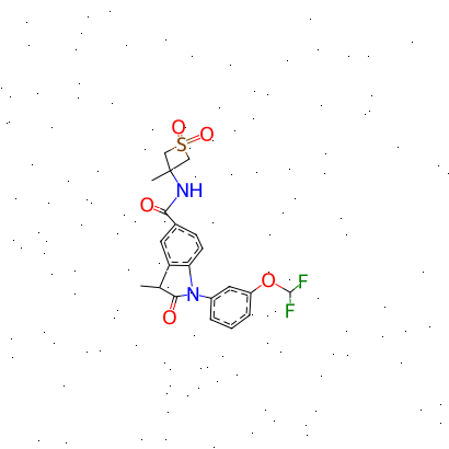 CC1C(=O)N(c2cccc(OC(F)F)c2)c2ccc(C(=O)NC3(C)CS(=O)(=O)C3)cc21